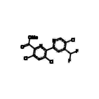 COC(=O)c1nc(-c2cc(C(F)F)c(Cl)cn2)c(Cl)cc1Cl